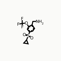 NCc1ccc(S(=O)(=O)C2CC2)cc1OC(F)(F)F